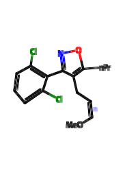 CCCc1onc(-c2c(Cl)cccc2Cl)c1C/C=C\OC